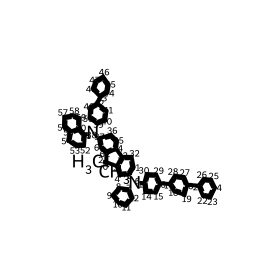 CC1(C)c2cc(N(c3ccccc3)c3ccc(-c4ccc(-c5ccccc5)cc4)cc3)ccc2-c2ccc(N(c3ccc(-c4ccccc4)cc3)c3cccc4ccccc34)cc21